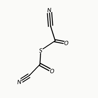 N#CC(=O)SC(=O)C#N